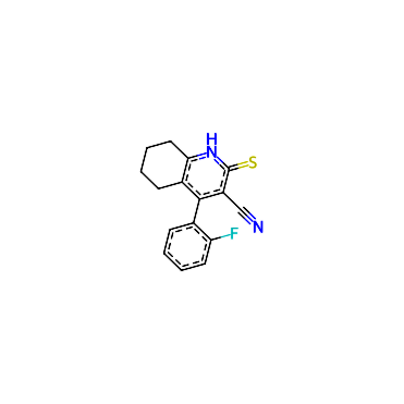 N#Cc1c(-c2ccccc2F)c2c([nH]c1=S)CCCC2